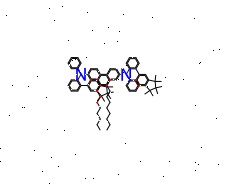 CCCCCCCCc1c(CCCCCCCC)c2cc(N(c3ccccc3)c3ccccc3-c3ccc4c(c3)C(C)(C)C(C)(C)C4(C)C)ccc2c2ccc(N(c3ccccc3)c3ccccc3-c3ccc4c(c3)C(C)(C)C(C)(C)C4(C)C)cc12